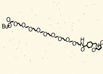 CC(C)(C)OC(=O)COCCOCCOCCOCCOCCOCCOCCOCCOCCNC(=O)C1CCC(CN2C(=O)C=CC2=O)CC1